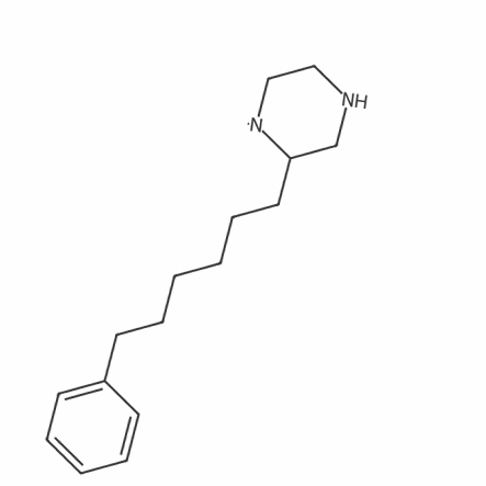 c1ccc(CCCCCCC2CNCC[N]2)cc1